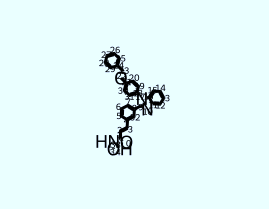 O=C(C=Cc1cccc(-c2nc3ccccc3n2-c2ccc(OCc3ccccc3)cc2)c1)NO